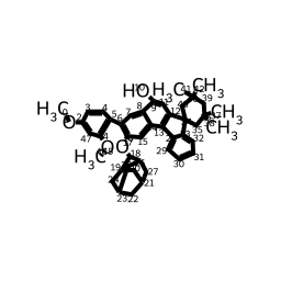 COc1ccc(-c2cc3c(O)cc4c(c3cc2OC2C3CC5CC(C3)CC2C5)-c2ccccc2C42CC(C)(C)CC(C)(C)C2)c(OC)c1